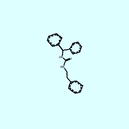 S=C(NCCc1ccccc1)NC(c1ccccc1)c1ccccc1